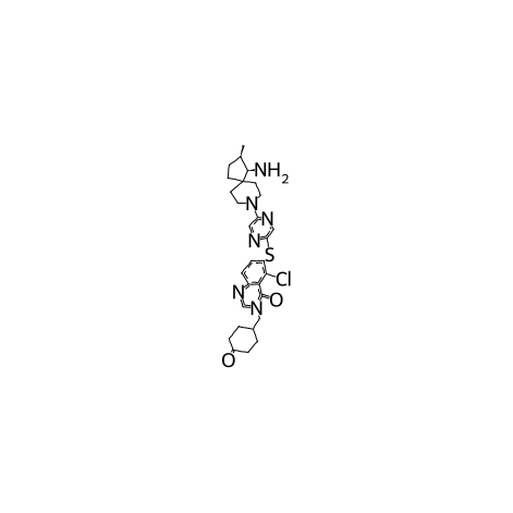 C[C@@H]1CCC2(CCN(c3cnc(Sc4ccc5ncn(CC6CCC(=O)CC6)c(=O)c5c4Cl)cn3)CC2)[C@@H]1N